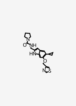 O=C(NCc1cc2cc(C3CC3)c(OCc3cscn3)cc2[nH]1)N1CCCC1